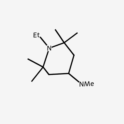 CCN1C(C)(C)CC(NC)CC1(C)C